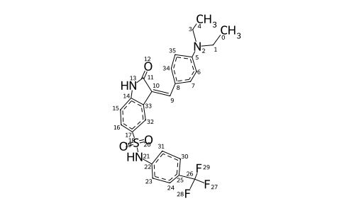 CCN(CC)c1ccc(C=C2C(=O)Nc3ccc(S(=O)(=O)Nc4ccc(C(F)(F)F)cc4)cc32)cc1